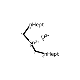 CCCCCCC[CH2][Sn+2][CH2]CCCCCCC.[O-2]